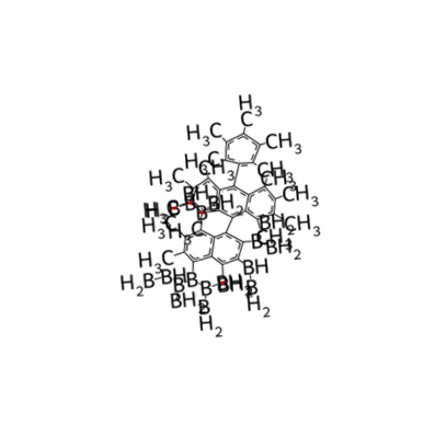 BBB(B)B(B(B)B)c1c(C)c(C)c(B(B)B(B)B)c2c(-c3c4c(C)c(C)c(C)c(C)c4c(-c4c(C)c(C)c(C)c(C)c4C)c4c(C)c(C)c(C)c(C)c34)c(B(B)B)c(BB)c(B)c12